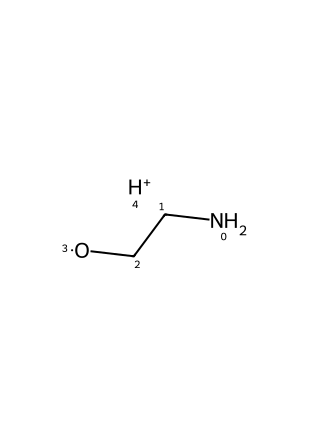 NCC[O].[H+]